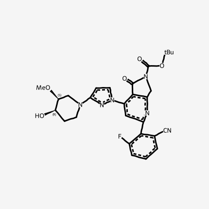 CO[C@H]1CN(c2ccn(-c3cc(-c4c(F)cccc4C#N)nc4c3C(=O)N(C(=O)OC(C)(C)C)C4)n2)CC[C@H]1O